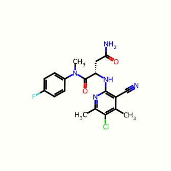 Cc1nc(N[C@@H](CC(N)=O)C(=O)N(C)c2ccc(F)cc2)c(C#N)c(C)c1Cl